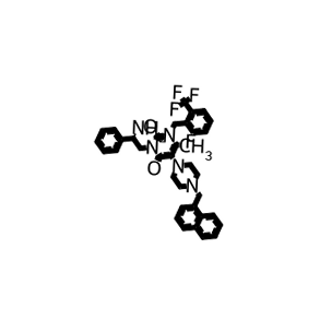 Cc1c(N2CCN(Cc3cccc4ccccc34)CC2)c(=O)n(C[C@@H](N)c2ccccc2)c(=O)n1Cc1c(F)cccc1C(F)(F)F